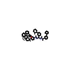 C=C(/C(C)=C/C(/C=C(\C)c1ccc(C2(C)C=CC3=C(C2)C2(c4ccccc4O3)c3ccccc3-c3ccccc32)cc1)c1cccc(C2C=CC=CC2C)c1)c1cccc(-c2ccccc2)c1